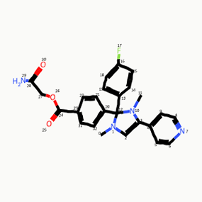 CN1C=C(c2ccncc2)N(C)C1(c1ccc(F)cc1)c1ccc(C(=O)OCC(N)=O)cc1